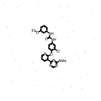 CCOc1cccc(NC(=O)Nc2ccc(Oc3ncccc3-c3ncnc(NC)n3)c(Cl)c2)c1